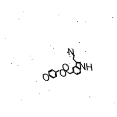 COc1ccc(COC(=O)Cc2ccc3[nH]cc(CCN(C)C)c3c2)cc1